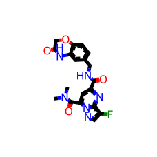 CN(C)C(=O)c1cc(C(=O)NCc2ccc3c(c2)NC(=O)CO3)nc2c(F)cnn12